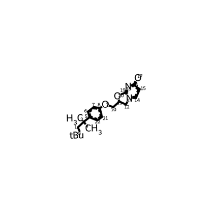 CC(C)(C)CC(C)(C)c1ccc(OCC2Cn3ccc(=O)nc3O2)cc1